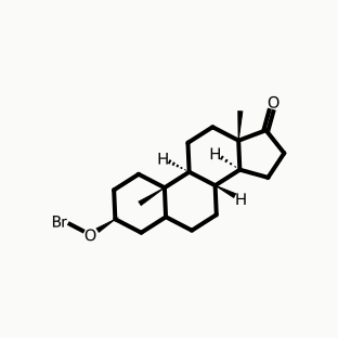 C[C@]12CC[C@H](OBr)CC1CC[C@@H]1[C@@H]2CC[C@]2(C)C(=O)CC[C@@H]12